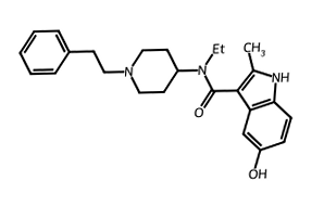 CCN(C(=O)c1c(C)[nH]c2ccc(O)cc12)C1CCN(CCc2ccccc2)CC1